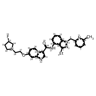 CCc1nn(Cc2cccc(C)n2)c2cccc(NC(=O)c3cnc4cc(OCCN5CC[C@@H](F)C5)ccn34)c12